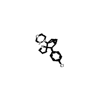 Clc1ccc(C2C3C=CC(N4CCOCS4)(C3)C23CCC=N3)cc1